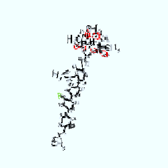 CCCCCc1ccc(-c2ccc(-c3ccc(-c4ccc(CCC(COC(=O)C(C)(C)CO)COC(=O)C(C)(C)COC)cc4CC)cc3)c(F)c2)cc1